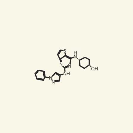 O[C@H]1CC[C@H](Nc2nc(Nc3cnn(-c4ccccc4)c3)nc3ccsc23)CC1